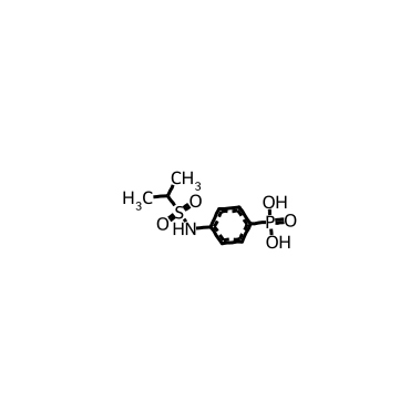 CC(C)S(=O)(=O)Nc1ccc(P(=O)(O)O)cc1